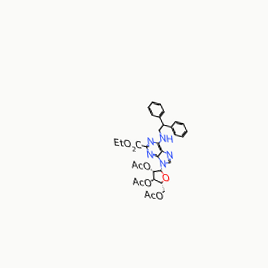 CCOC(=O)c1nc(NCC(c2ccccc2)c2ccccc2)c2ncn([C@@H]3O[C@H](COC(C)=O)[C@@H](OC(C)=O)[C@@H]3OC(C)=O)c2n1